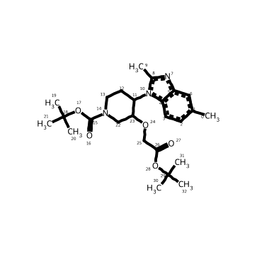 Cc1ccc2c(c1)nc(C)n2C1CCN(C(=O)OC(C)(C)C)CC1OCC(=O)OC(C)(C)C